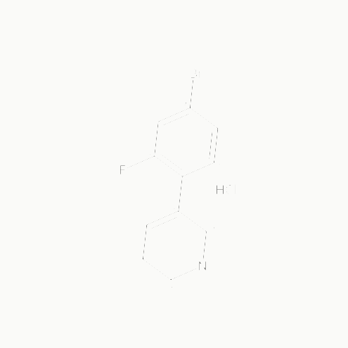 Cl.Fc1cc(Br)ccc1C1=CCCNC1